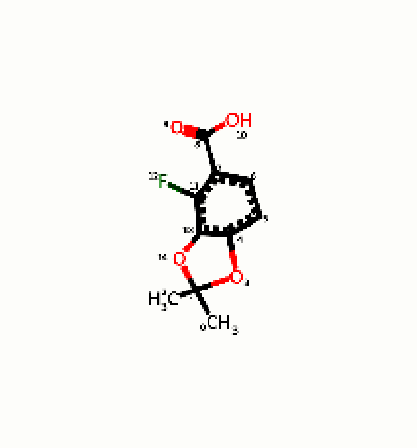 CC1(C)Oc2ccc(C(=O)O)c(F)c2O1